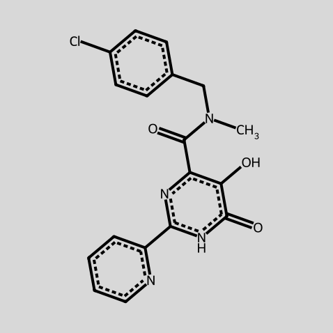 CN(Cc1ccc(Cl)cc1)C(=O)c1nc(-c2ccccn2)[nH]c(=O)c1O